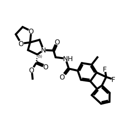 COC(=O)[C@@H]1CC2(CN1C(=O)CNC(=O)c1cc(C)c3c(c1)-c1ccccc1C3(F)F)OCCO2